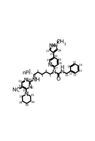 CCC[C@H](CCCCN(C(=O)NCc1ccccc1)c1ccc(-c2cnn(C)c2)cn1)Nc1ncc(C#N)c(N2CCCCC2)n1